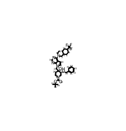 CCN(CC1CCC(C(F)(F)F)CC1)c1ncnc2c1ccn2C[C@]1(O)CCN(C(=O)OC(C)(C)C)C[C@H]1OCc1ccccc1